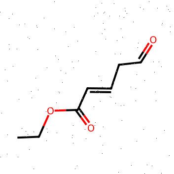 CCOC(=O)/C=C/CC=O